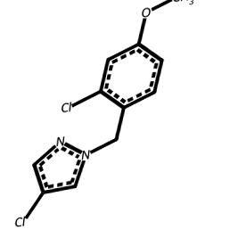 COc1ccc(Cn2cc(Cl)cn2)c(Cl)c1